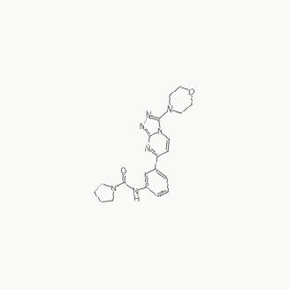 O=C(Nc1cccc(-c2ccn3c(N4CCOCC4)nnc3n2)c1)N1CCCC1